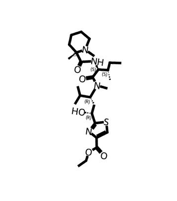 CCOC(=O)c1csc([C@H](O)C[C@H](C(C)C)N(C)C(=O)[C@@H](NC(=O)[C@]2(C)CCCCN2C)[C@@H](C)CC)n1